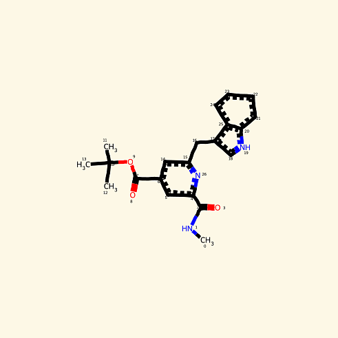 CNC(=O)c1cc(C(=O)OC(C)(C)C)cc(Cc2c[nH]c3ccccc23)n1